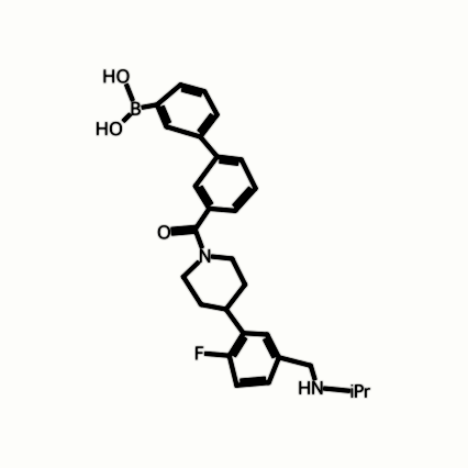 CC(C)NCc1ccc(F)c(C2CCN(C(=O)c3cccc(-c4cccc(B(O)O)c4)c3)CC2)c1